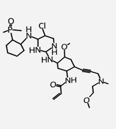 C=CC(=O)NC1CC(NC2NCC(Cl)C(NC3CCCCC3P(C)(C)=O)N2)C(OC)CC1C#CCN(C)CCOC